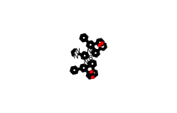 c1ccc(-c2cc(-c3ccccc3)c3c4c(C5CCCCC5)ccc5c4n(c3c2)-c2cc(-c3ncccn3)cc3c2B5c2ccc(C4CCCCC4)c4c5c(-c6ccccc6)cc(-c6ccccc6)cc5n-3c24)cc1